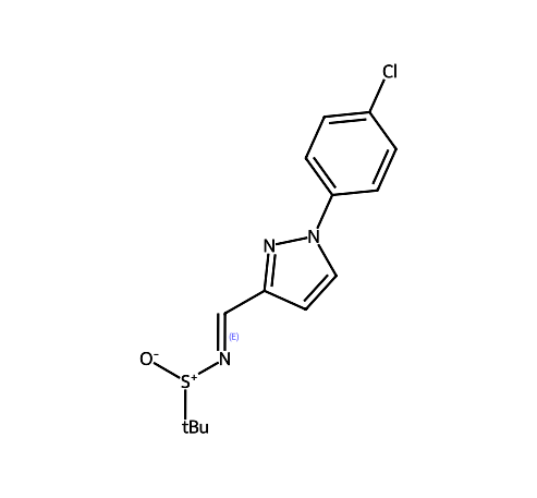 CC(C)(C)[S+]([O-])/N=C/c1ccn(-c2ccc(Cl)cc2)n1